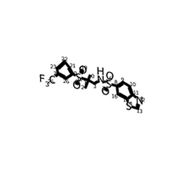 CC(C)(CNS(=O)(=O)c1ccc2ncsc2c1)S(=O)(=O)c1cccc(C(F)(F)F)c1